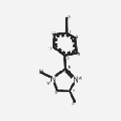 Cc1ccc(C2=NC(C)CN2C)cc1